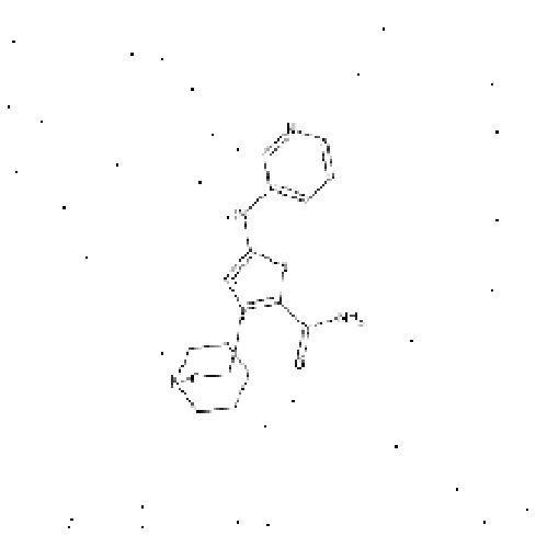 NC(=O)c1sc(Nc2cccnc2)cc1C1CN2CCC1CC2